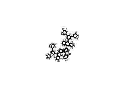 c1cncc(-c2cc(-c3cccnc3)cc(-c3c4ccccc4c(-c4ccc5c(c4)sc4cccc(-c6c7ccccc7c(-c7cc(-c8cccnc8)cc(-c8cccnc8)c7)c7ccccc67)c45)c4ccccc34)c2)c1